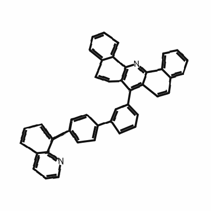 c1cc(-c2ccc(-c3cccc4cccnc34)cc2)cc(-c2c3ccc4ccccc4c3nc3c2ccc2ccccc23)c1